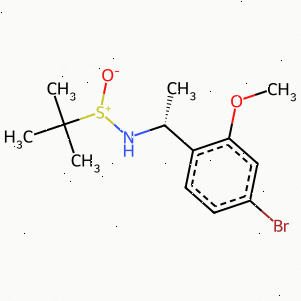 COc1cc(Br)ccc1[C@@H](C)N[S+]([O-])C(C)(C)C